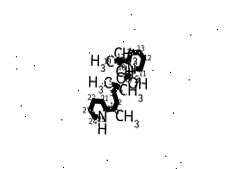 CC(CCC(C)(C)OC(O)N1CCCCC1C(C)(C)C)C1CCCCN1